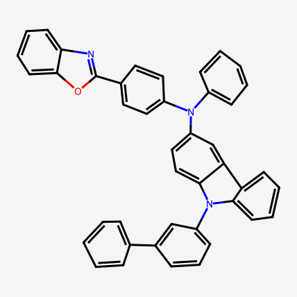 c1ccc(-c2cccc(-n3c4ccccc4c4cc(N(c5ccccc5)c5ccc(-c6nc7ccccc7o6)cc5)ccc43)c2)cc1